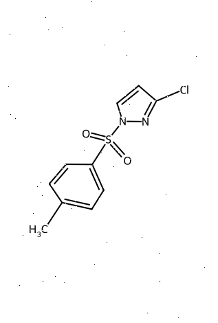 Cc1ccc(S(=O)(=O)n2ccc(Cl)n2)cc1